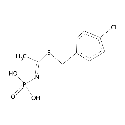 CC(=NP(=O)(O)O)SCc1ccc(Cl)cc1